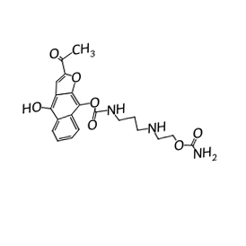 CC(=O)c1cc2c(O)c3ccccc3c(OC(=O)NCCCNCCOC(N)=O)c2o1